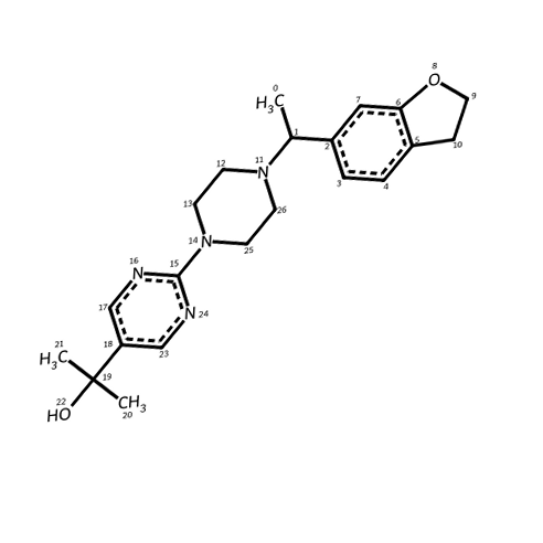 CC(c1ccc2c(c1)OCC2)N1CCN(c2ncc(C(C)(C)O)cn2)CC1